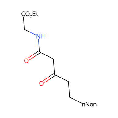 CCCCCCCCCCCC(=O)CC(=O)NCC(=O)OCC